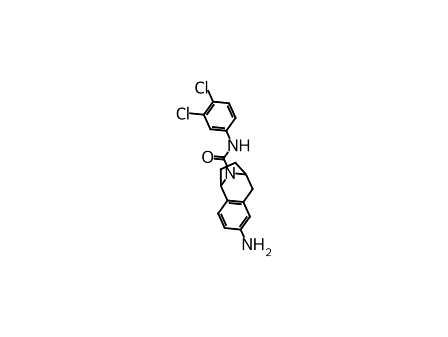 Nc1ccc2c(c1)CC1CCC2N1C(=O)Nc1ccc(Cl)c(Cl)c1